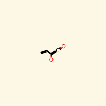 C=CC([O])=C=O